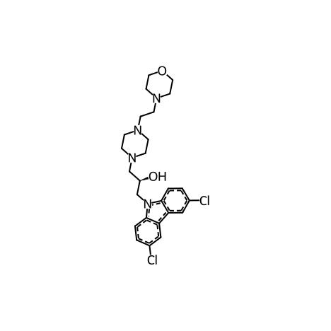 O[C@H](CN1CCN(CCN2CCOCC2)CC1)Cn1c2ccc(Cl)cc2c2cc(Cl)ccc21